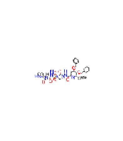 COc1nc(C(=O)NN2CCN(S(=O)(=O)NC(=O)N3CC(NC(=O)O)C3=O)C2=O)cc(OCc2ccccc2)c1OCc1ccccc1